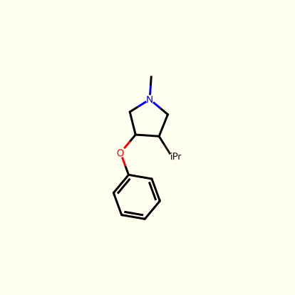 CC(C)C1CN(C)CC1Oc1ccccc1